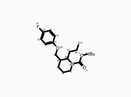 CC(C)(C)OC(=O)N1CCCC(COc2ccc(F)cc2)C1CCI